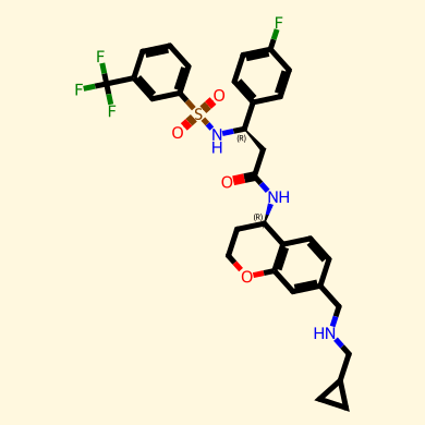 O=C(C[C@@H](NS(=O)(=O)c1cccc(C(F)(F)F)c1)c1ccc(F)cc1)N[C@@H]1CCOc2cc(CNCC3CC3)ccc21